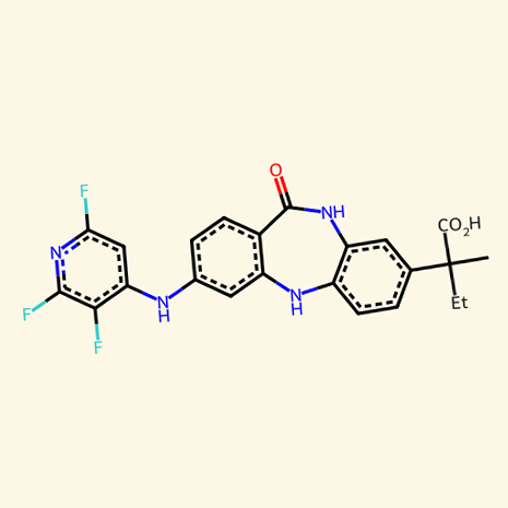 CCC(C)(C(=O)O)c1ccc2c(c1)NC(=O)c1ccc(Nc3cc(F)nc(F)c3F)cc1N2